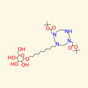 CC(C)(C)OC(=O)CN1CCCN(CCCCCCCCCCOC2OC(CO)C(O)C(O)C2O)CCN(CC(=O)OC(C)(C)C)CCCNCC1